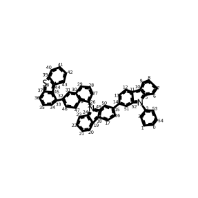 c1ccc(-n2c3ccccc3c3ccc(-c4ccc5c6ccccc6n(-c6cccc7cc(-c8cccc9sc%10ccccc%10c89)ccc67)c5c4)cc32)cc1